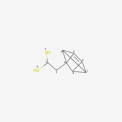 SC(S)CC12C3=C4C(C41)C32